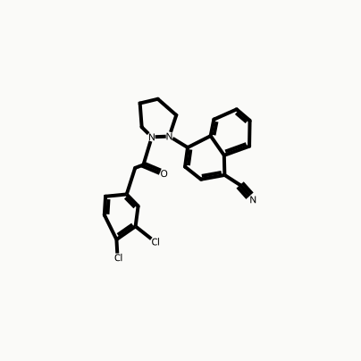 N#Cc1ccc(N2CCCCN2C(=O)Cc2ccc(Cl)c(Cl)c2)c2ccccc12